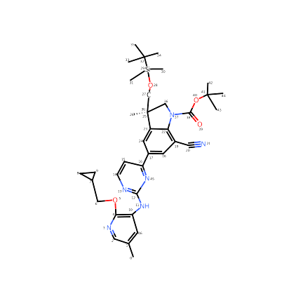 Cc1cnc(OCC2CC2)c(Nc2nccc(-c3cc(C#N)c4c(c3)[C@@](C)(CO[Si](C)(C)C(C)(C)C)CN4C(=O)OC(C)(C)C)n2)c1